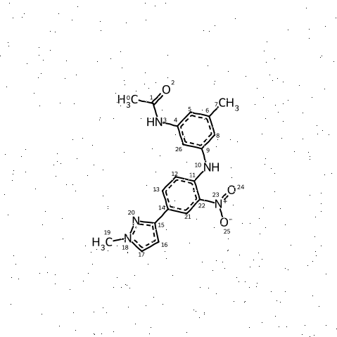 CC(=O)Nc1cc(C)cc(Nc2ccc(-c3ccn(C)n3)cc2[N+](=O)[O-])c1